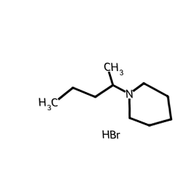 Br.CCCC(C)N1CCCCC1